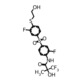 C[C@@](O)(C(=O)Nc1ccc(S(=O)(=O)c2ccc(SCCO)c(F)c2)cc1F)C(F)(F)F